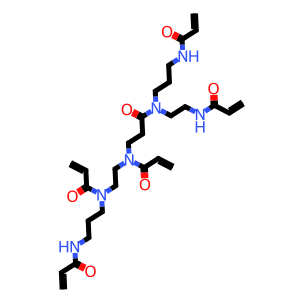 C=CC(=O)NCCCN(CCN(CCC(=O)N(CCCNC(=O)C=C)CCNC(=O)C=C)C(=O)C=C)C(=O)C=C